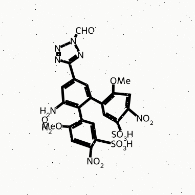 COc1cc([N+](=O)[O-])c(S(=O)(=O)O)cc1-c1cc(-c2nnn(C=O)n2)cc(N)c1-c1cc(S(=O)(=O)O)c([N+](=O)[O-])cc1OC.O